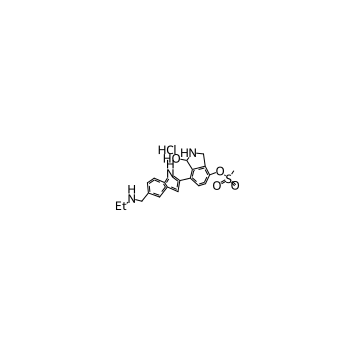 CCNCc1ccc2[nH]c(-c3ccc(OS(C)(=O)=O)c4c3C(O)NC4)cc2c1.Cl